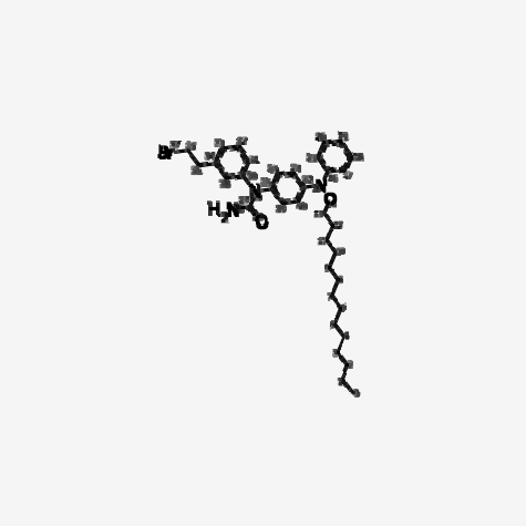 CCCCCCCCCCCCCCON(c1ccccc1)c1ccc(N(C(N)=O)c2cccc(CCBr)c2)cc1